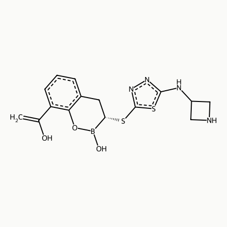 C=C(O)c1cccc2c1OB(O)[C@@H](Sc1nnc(NC3CNC3)s1)C2